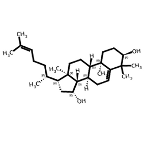 CC(C)=CCC[C@@H](C)[C@H]1C[C@@H](O)[C@H]2[C@@H]3CC=C4C(C)(C)[C@H](O)CC[C@]4(C)[C@H]3CC[C@@]21C